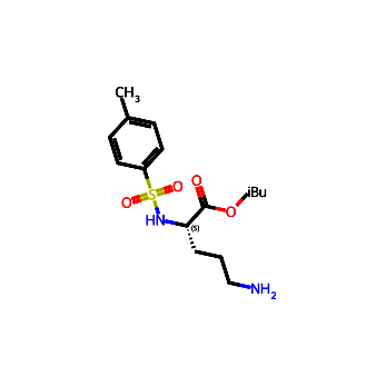 CCC(C)OC(=O)[C@H](CCCN)NS(=O)(=O)c1ccc(C)cc1